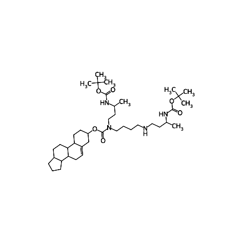 CC(CCNCCCCN(CCC(C)NC(=O)OC(C)(C)C)C(=O)OC1CCC2C(=CCC3C4CCCC4CCC23)C1)NC(=O)OC(C)(C)C